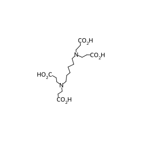 O=C(O)CCN(CCCCCCN(CCC(=O)O)CCC(=O)O)CCC(=O)O